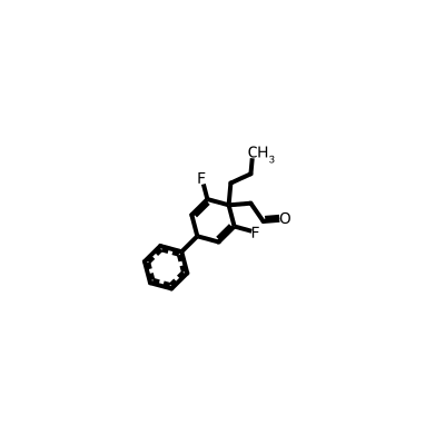 CCCC1(CC=O)C(F)=CC(c2ccccc2)C=C1F